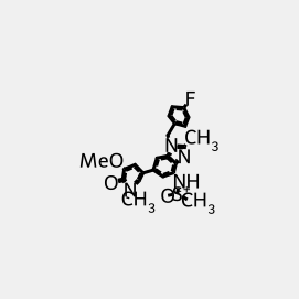 COc1cc(-c2cc(N[S+](C)[O-])c3nc(C)n(Cc4ccc(F)cc4)c3c2)cn(C)c1=O